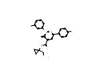 O=C(NC1(CO)CC1)c1cc(-c2ccc(Cl)cc2)nn(-c2cccc(F)c2)c1=O